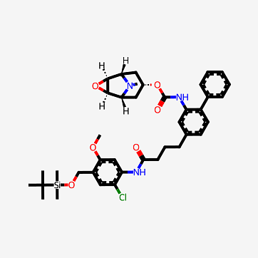 COc1cc(NC(=O)CCCc2ccc(-c3ccccc3)c(NC(=O)O[C@@H]3C[C@@H]4[C@H]5O[C@H]5[C@H](C3)N4C)c2)c(Cl)cc1CO[Si](C)(C)C(C)(C)C